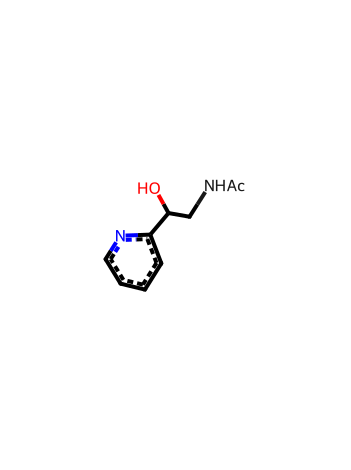 CC(=O)NCC(O)c1ccccn1